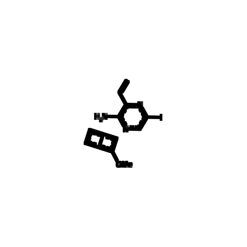 C=Cc1nc(I)cnc1N.COc1cc2ccc1-2